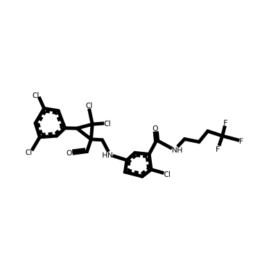 O=CC1(CNc2ccc(Cl)c(C(=O)NCCCC(F)(F)F)c2)C(c2cc(Cl)cc(Cl)c2)C1(Cl)Cl